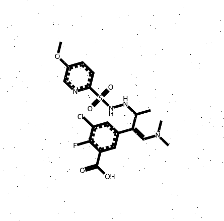 COc1ccc(S(=O)(=O)NNC(C)/C(=C\N(C)C)c2cc(Cl)c(F)c(C(=O)O)c2)nc1